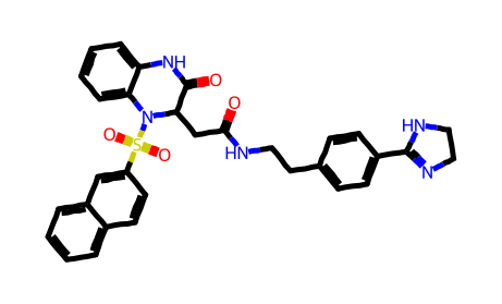 O=C(CC1C(=O)Nc2ccccc2N1S(=O)(=O)c1ccc2ccccc2c1)NCCc1ccc(C2=NCCN2)cc1